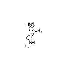 Cc1c(O[C@H]2CCC[C@H](NC3CCCC3)C2)ccc2[nH]ncc12